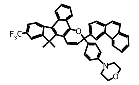 CC1(C)c2cc(C(F)(F)F)ccc2-c2c1c1c(c3ccccc23)OC(c2ccc(N3CCOCC3)cc2)(c2ccc3ccc4ccccc4c3c2)C=C1